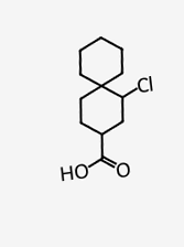 O=C(O)C1CCC2(CCCCC2)C(Cl)C1